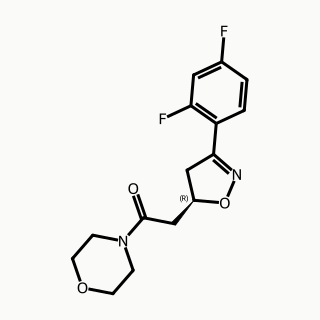 O=C(C[C@H]1CC(c2ccc(F)cc2F)=NO1)N1CCOCC1